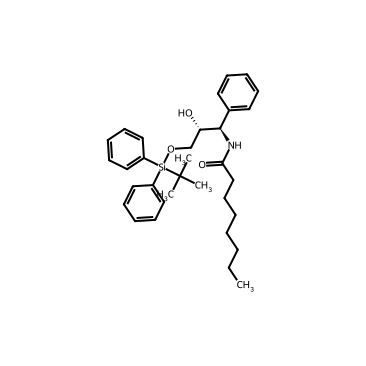 CCCCCCCC(=O)N[C@H](c1ccccc1)[C@@H](O)CO[Si](c1ccccc1)(c1ccccc1)C(C)(C)C